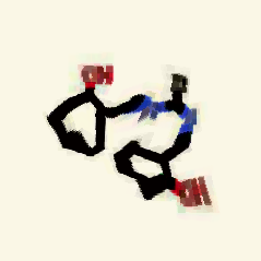 CCC(/N=C\c1ccccc1O)/N=C/c1ccccc1O